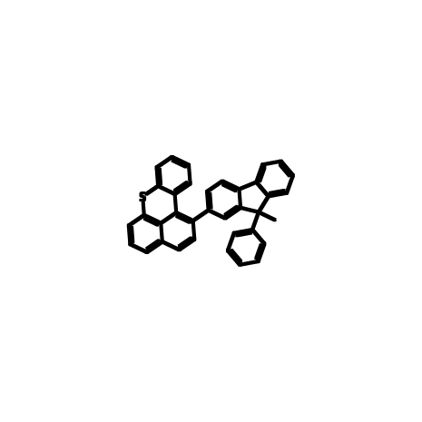 CC1(c2ccccc2)c2ccccc2-c2ccc(-c3ccc4cccc5c4c3-c3ccccc3S5)cc21